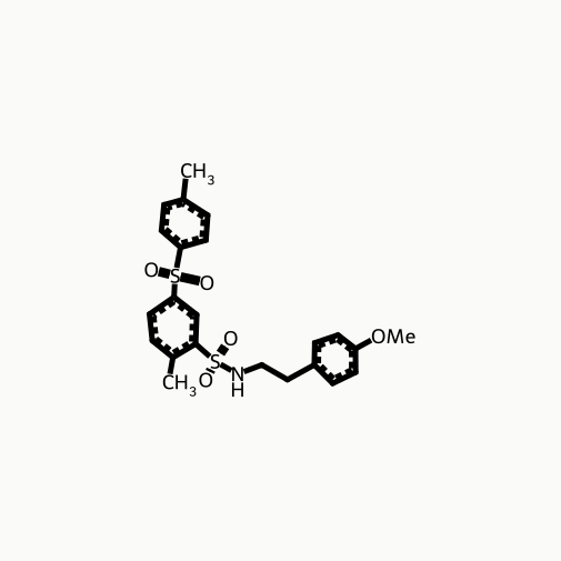 COc1ccc(CCNS(=O)(=O)c2cc(S(=O)(=O)c3ccc(C)cc3)ccc2C)cc1